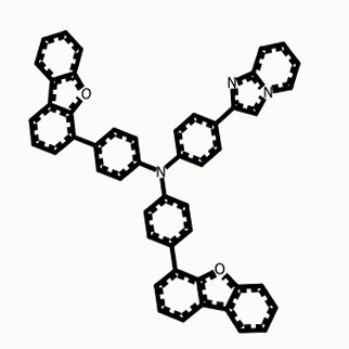 c1ccc2c(c1)oc1c(-c3ccc(N(c4ccc(-c5cn6ccccc6n5)cc4)c4ccc(-c5cccc6c5oc5ccccc56)cc4)cc3)cccc12